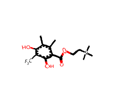 Cc1c(C)c(C(=O)OCC[Si](C)(C)C)c(O)c(C(F)(F)F)c1O